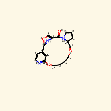 O=C1c2coc(n2)-c2ccnc(c2)OCCCCOCC2CCCN12